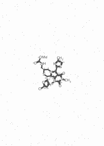 COC(=O)NC[C@H]1Cn2c(-c3nc(C)cs3)c3c(=O)n(C)c(=O)n(C)c3c2[C@H](c2ccc(Cl)o2)S1